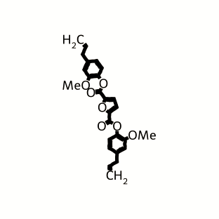 C=CCc1ccc(OC(=O)c2ccc(C(=O)Oc3ccc(CC=C)cc3OC)o2)c(OC)c1